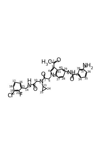 CC(=O)c1cn(CC(=O)N(CC(=O)NCc2cccc(Cl)c2F)C2CC2)c2ccc(NC(=O)c3cccc(N)c3)cc12